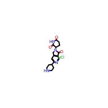 Cl.O=C1CCC(N2Cc3cc(C4CCNCC4)ncc3C2=O)C(=O)N1